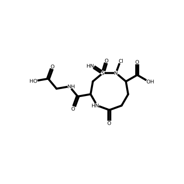 N=S1(=O)CC(C(=O)NCC(=O)O)NC(=O)CCC(C(=O)O)N1Cl